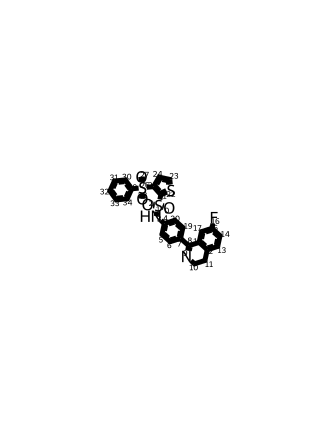 O=S(=O)(Nc1ccc(C2=NCCc3ccc(F)cc32)cc1)c1sccc1S(=O)(=O)c1ccccc1